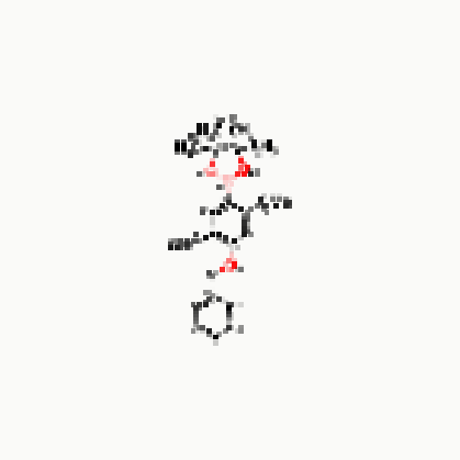 COc1cc(OCc2ccccc2)c(C=O)cc1B1OC(C)(C)C(C)(C)O1